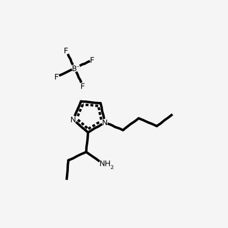 CCCCn1ccnc1C(N)CC.F[B-](F)(F)F